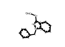 O=COc1nn(Cc2ccccc2)c2ccccc12